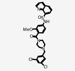 COc1cc(N[S+]([O-])c2cccc3cccnc23)ccc1C(=O)N1CCN(Cc2cc(Cl)cc(Cl)c2)CC1